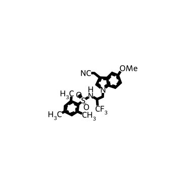 COc1ccc2c(c1)c(CC#N)cn2CC(NS(=O)(=O)c1c(C)cc(C)cc1C)C(F)(F)F